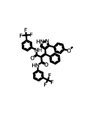 COc1ccc(-c2n[nH]cc2C(=C(C(=O)Nc2cccc(C(F)(F)F)c2)C(=O)Nc2cccc(C(F)(F)F)c2)c2ccccc2)cc1